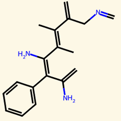 C=NCC(=C)/C(C)=C(C)/C(N)=C(\C(=C)N)c1ccccc1